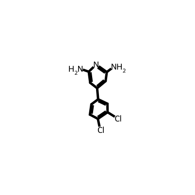 Nc1cc(-c2ccc(Cl)c(Cl)c2)cc(N)n1